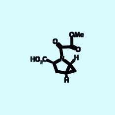 COC(=O)C(=O)N1[C@@H]2C[C@@H]2C[C@H]1C(=O)O